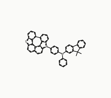 CC1(C)c2ccccc2-c2ccc(N(c3ccccc3)c3ccc(-n4c5cccc6c5c5c7c(ccc8sc9cccc-6c9c87)ccc54)cc3)cc21